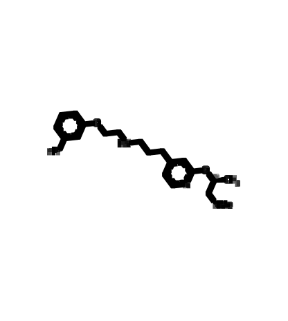 CCCc1cccc(OCCNCCCc2ccnc(O[C@@H](C)CNC)c2)c1